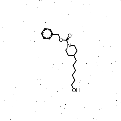 O=C(OCc1ccccc1)N1CCC(CCCCCCO)CC1